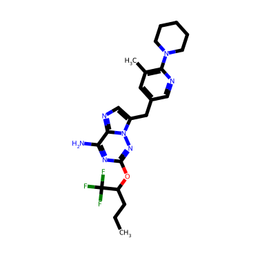 CCCC(Oc1nc(N)c2ncc(Cc3cnc(N4CCCCC4)c(C)c3)n2n1)C(F)(F)F